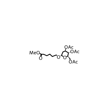 COC(=O)CCCCCO[C@@H]1C[C@@H](OC(C)=O)[C@H](OC(C)=O)[C@@H](COC(C)=O)O1